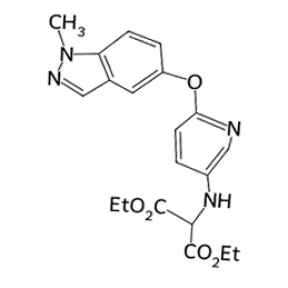 CCOC(=O)C(Nc1ccc(Oc2ccc3c(cnn3C)c2)nc1)C(=O)OCC